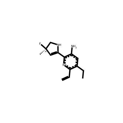 C=Cc1nc(C2=C[C@@](C)(F)CN2)c(N)cc1CC